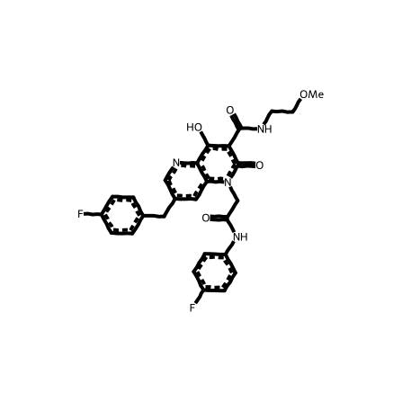 COCCNC(=O)c1c(O)c2ncc(Cc3ccc(F)cc3)cc2n(CC(=O)Nc2ccc(F)cc2)c1=O